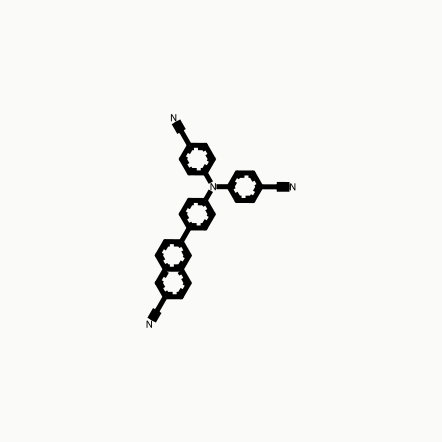 N#Cc1ccc(N(c2ccc(C#N)cc2)c2ccc(-c3ccc4cc(C#N)ccc4c3)cc2)cc1